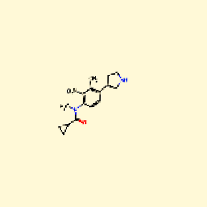 Cc1c(C2CCNC2)ccc(N(C)C(=O)C2CC2)c1[N+](=O)[O-]